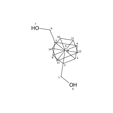 OC[C]12[CH]3[CH]4[C]5(CO)[CH]1[Fe]34251678[CH]2[CH]1[CH]6[CH]7[CH]28